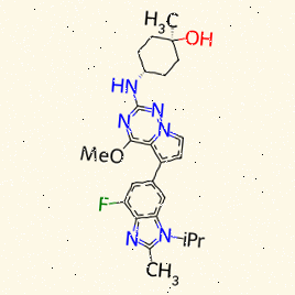 COc1nc(N[C@H]2CC[C@](C)(O)CC2)nn2ccc(-c3cc(F)c4nc(C)n(C(C)C)c4c3)c12